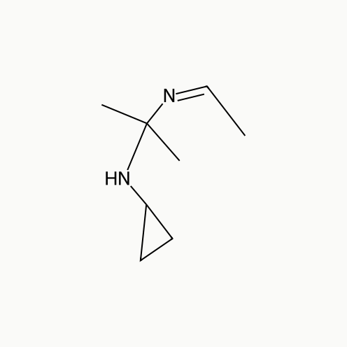 C/C=N\C(C)(C)NC1CC1